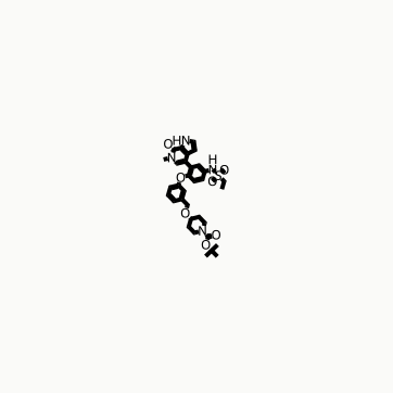 CCS(=O)(=O)Nc1ccc(Oc2cccc(COC3CCN(C(=O)OC(C)(C)C)CC3)c2)c(-c2cn(C)c(=O)c3[nH]ccc23)c1